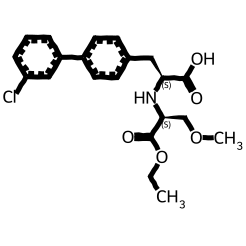 CCOC(=O)[C@H](COC)N[C@@H](Cc1ccc(-c2cccc(Cl)c2)cc1)C(=O)O